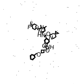 Cc1cc(NC(=O)c2ccc(NS(=O)(=O)C3CC(OCc4ccccc4)C3)cc2N2CCC3(CC2)CC3)nc(N2CCC(F)(F)CC2)n1